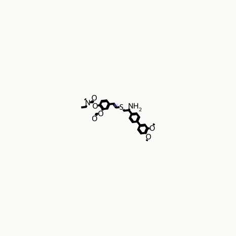 CCN(C)C(=O)Oc1ccc(/C=C/SCC(N)c2ccc(-c3ccc(OC)c(OC)c3)cc2)cc1OC=O